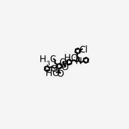 CCCc1cc(S(=O)(=O)c2ccc(CCN(Cc3ccccc3)C[C@H](O)c3cccc(Cl)c3)cc2)cc(C(=O)O)c1OCc1ccccc1